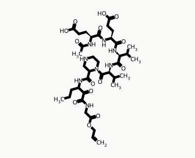 C=CCOC(=O)CNC(=O)C(=O)C(CCC)NC(=O)C1CNCCN1C(=O)[C@@H](NC(=O)[C@@H](NC(=O)[C@H](CCC(=O)O)NC(=O)[C@H](CCC(=O)O)NC(C)=O)C(C)C)C(C)C